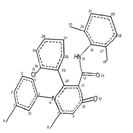 Cc1cccc(-n2c(C)cc(=O)c(C(=O)Nc3c(C)cccc3C)c2-c2ccccc2Cl)c1